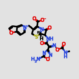 CNC(=O)ON=C(C(=O)NC1C(=O)N2C(C(=O)[O-])=C(C[n+]3ccc4occc4c3)CS[C@@H]12)c1noc(N)n1